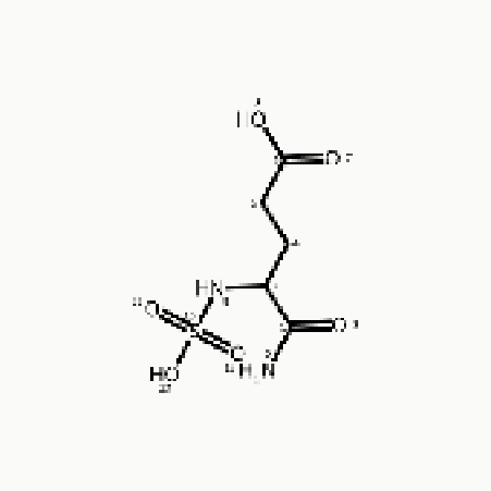 NC(=O)C(CCC(=O)O)NS(=O)(=O)O